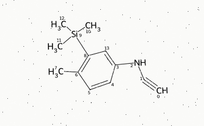 C#CNc1ccc(C)c([Si](C)(C)C)c1